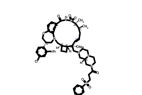 CCCc1cc(Cl)ccc1[C@@H]1COc2ccc3cc2N(C1)C[C@@H]1CC[C@H]1[C@@](CN1CCN2CCN(C(=O)CCS(=O)(=O)c4ccccc4)C[C@@H]2C1)(OC)/C=C/C[C@H](C)[C@@H](C)S(=O)(=O)NC3=O